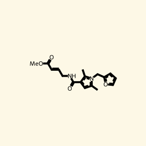 COC(=O)/C=C/CNC(=O)c1cc(C)n(Cc2ccco2)c1C